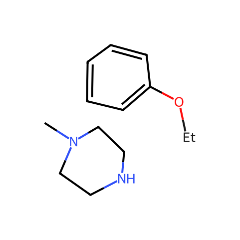 CCOc1ccccc1.CN1CCNCC1